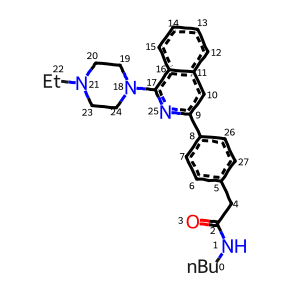 CCCCNC(=O)Cc1ccc(-c2cc3ccccc3c(N3CCN(CC)CC3)n2)cc1